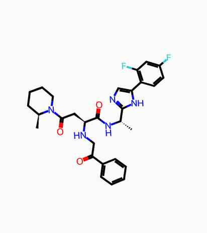 C[C@H](NC(=O)[C@H](CC(=O)N1CCCC[C@@H]1C)NCC(=O)c1ccccc1)c1ncc(-c2ccc(F)cc2F)[nH]1